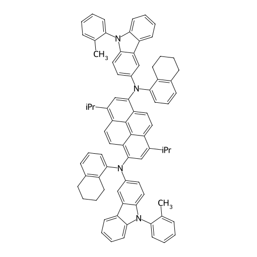 Cc1ccccc1-n1c2ccccc2c2cc(N(c3cccc4c3CCCC4)c3cc(C(C)C)c4ccc5c(N(c6ccc7c(c6)c6ccccc6n7-c6ccccc6C)c6cccc7c6CCCC7)cc(C(C)C)c6ccc3c4c65)ccc21